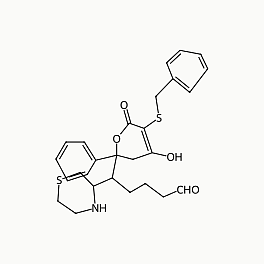 O=CCCCC(C1CSCCN1)C1(c2ccccc2)CC(O)=C(SCc2ccccc2)C(=O)O1